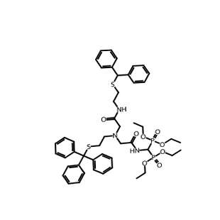 CCOP(=O)(OCC)C(NC(=O)CN(CCSC(c1ccccc1)(c1ccccc1)c1ccccc1)CC(=O)NCCSC(c1ccccc1)c1ccccc1)P(=O)(OCC)OCC